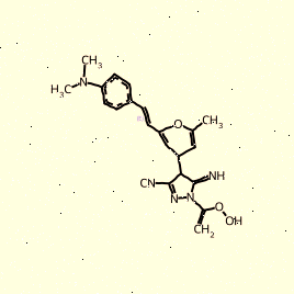 [C-]#[N+]C1=NN(C(=C)OO)C(=N)C1C1C=C(C)OC(/C=C/c2ccc(N(C)C)cc2)=C1